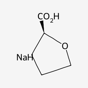 O=C(O)[C@@H]1CCCO1.[NaH]